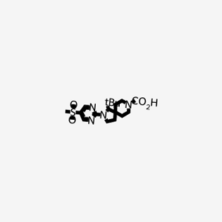 CC(C)(C)C1N(c2ncc(S(C)(=O)=O)cn2)CCC12CCN(C(=O)O)CC2